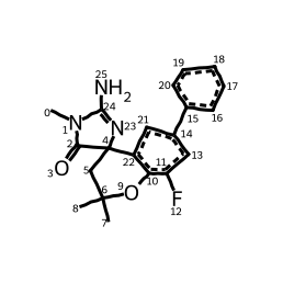 CN1C(=O)C2(CC(C)(C)Oc3c(F)cc(-c4ccccc4)cc32)N=C1N